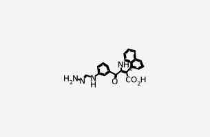 NN=CNc1cccc(C(=O)C(N)=C(C(=O)O)c2cccc3ccccc23)c1